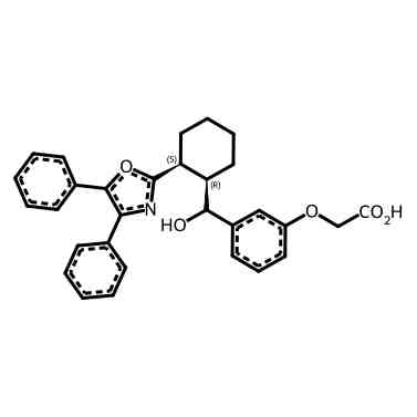 O=C(O)COc1cccc(C(O)[C@@H]2CCCC[C@@H]2c2nc(-c3ccccc3)c(-c3ccccc3)o2)c1